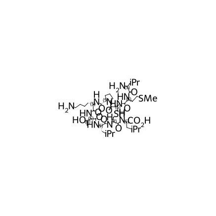 CSCC[C@H](NC(=O)[C@@H](N)C(C)C)C(=O)N[C@@H](C)C(=O)N1CCC[C@H]1C(=O)N[C@@H](CCCCN)C(=O)N[C@H](C(=O)N[C@@H](CC(C)C)C(=O)N[C@@H](CS)C(=O)N[C@@H](CC(C)C)C(=O)O)[C@@H](C)O